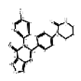 O=C1NCCCN1c1ccc(-c2nc3conc3c(=O)n2-c2ccc(Cl)cn2)cc1